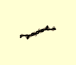 C=CC(=C)OCCCCOCC(COc1ccc(OC(=O)C2CCC(C(=O)Oc3ccc(OCC(COCCCCOC(=O)C=C)OC(=O)C=C)cc3)CC2)cc1)OC(=O)C=C